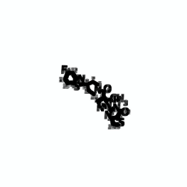 Cc1c(C(=O)N2CCC(c3nc4cc(F)ccc4s3)CC2)cnn1-c1nc2ccsc2c(=O)[nH]1